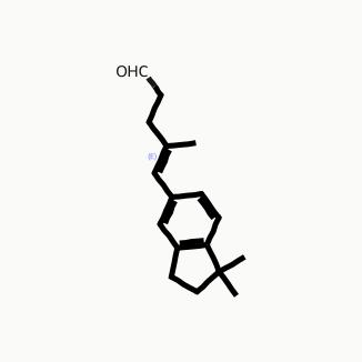 C/C(=C\c1ccc2c(c1)CCC2(C)C)CCC=O